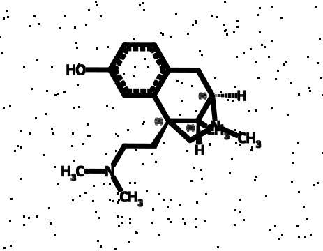 C[C@H]1[C@H]2Cc3ccc(O)cc3[C@@]1(CCN(C)C)CN2C